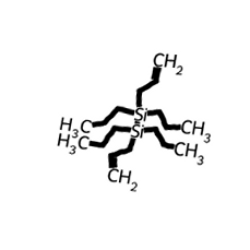 C=CC[Si](CCC)(CCC)[Si](CC=C)(CCC)CCC